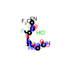 CC1CN(CCOc2ccc(N3C(=S)N(c4ccc(C#N)c(C(F)(F)F)c4)C(=O)C3(C)C)cc2CCF)CCN1CC(=O)Nc1cccc(NC2CCC(=O)NC2=O)c1.Cl